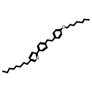 CCCCCCCCc1ccc(-c2ccc(CCc3ccc(OCCCCCCC)cc3)cc2)nc1